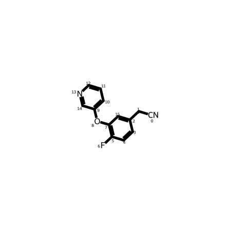 N#C[CH]c1ccc(F)c(Oc2cccnc2)c1